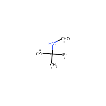 CCCC(C)(NC=O)C(C)C